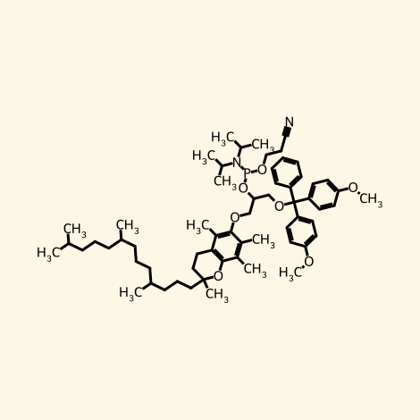 COc1ccc(C(OCC(COc2c(C)c(C)c3c(c2C)CCC(C)(CCCC(C)CCCC(C)CCCC(C)C)O3)OP(OCCC#N)N(C(C)C)C(C)C)(c2ccccc2)c2ccc(OC)cc2)cc1